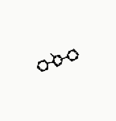 Cc1[c]c(-c2ccccc2)[c]cc1-c1ccccc1